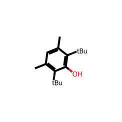 Cc1cc(C)c(C(C)(C)C)c(O)c1C(C)(C)C